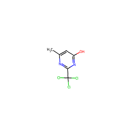 Cc1cc(O)nc(C(Cl)(Cl)Cl)n1